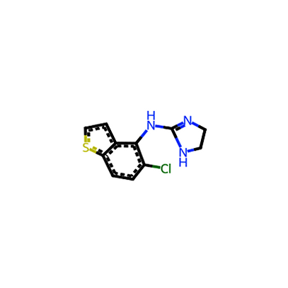 Clc1ccc2sccc2c1NC1=NCCN1